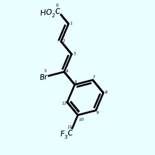 O=C(O)C=CC=C(Br)c1cccc(C(F)(F)F)c1